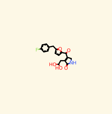 O=C1NCC(C(=O)c2ccc(Cc3ccc(F)cc3)o2)=C1CC(O)O